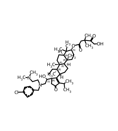 CC(C)C1=C2[C@H]3CC[C@@H]4[C@@]5(C)CC[C@H](OC(=O)CC(C)(C)C(=O)CO)C(C)(C)[C@@H]5CC[C@@]4(C)[C@]3(C)CC[C@@]2([C@H](O)CN(CCN(C)C)Cc2ccc(Cl)cc2)CC1=O